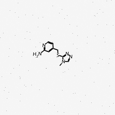 Cn1cnnc1SCc1ccnc(N)c1